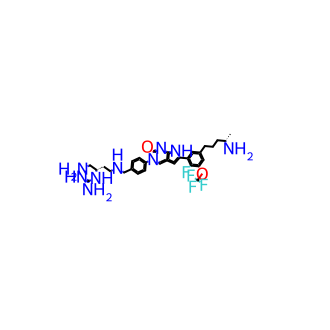 C[C@H](N)CCCc1cc(OC(F)(F)F)c(F)c(-c2cc3cn(-c4ccc(CNCC[C@@H](CN)NC(=N)N)cc4)c(=O)nc3[nH]2)c1